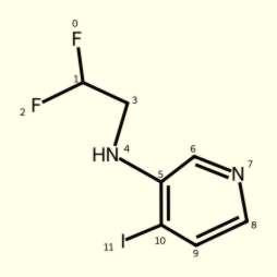 FC(F)CNc1cnccc1I